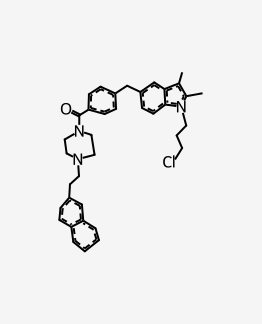 Cc1c(C)n(CCCCl)c2ccc(Cc3ccc(C(=O)N4CCN(CCc5ccc6ccccc6c5)CC4)cc3)cc12